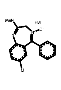 Br.CNC1=Nc2ccc(Cl)cc2C(c2ccccc2)=[N+]([O-])C1